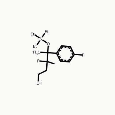 CC[Si](CC)(CC)OC(C)(c1ccc(F)cc1)C(F)(F)CCO